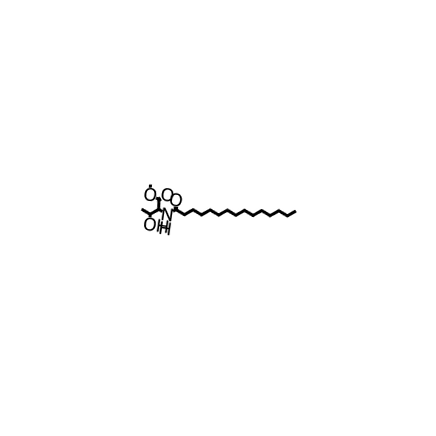 CCCCCCCCCCCCCCC(=O)NC(C(=O)OC)C(C)O